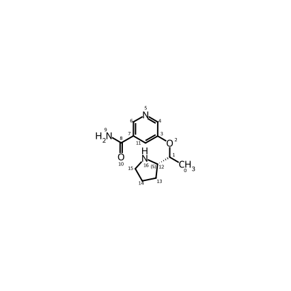 CC(Oc1cncc(C(N)=O)c1)[C@@H]1CCCN1